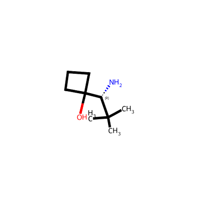 CC(C)(C)[C@@H](N)C1(O)CCC1